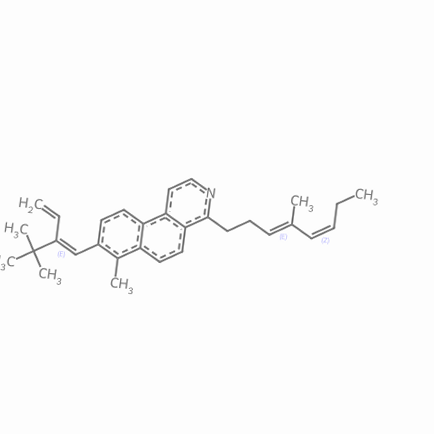 C=C/C(=C\c1ccc2c(ccc3c(CC/C=C(C)/C=C\CC)nccc32)c1C)C(C)(C)C